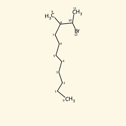 CCCCCCCCC(C)C(C)Br